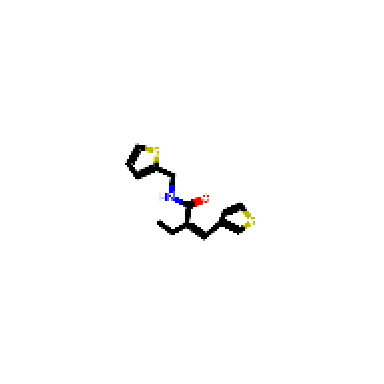 CCC(=Cc1ccsc1)C(=O)NCc1cccs1